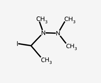 CC(I)N(C)N(C)C